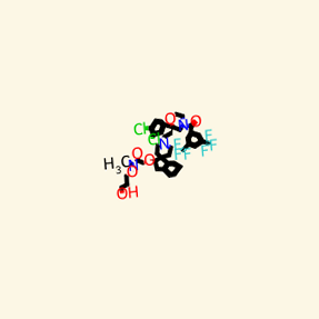 CN(OCCCO)C(=O)CO[C@H]1Cc2ccccc2C12CCN(CC[C@]1(c3ccc(Cl)c(Cl)c3)CN(C(=O)c3cc(C(F)(F)F)cc(C(F)(F)F)c3)CCO1)CC2